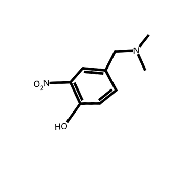 CN(C)Cc1ccc(O)c([N+](=O)[O-])c1